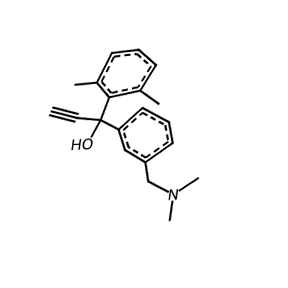 C#CC(O)(c1cccc(CN(C)C)c1)c1c(C)cccc1C